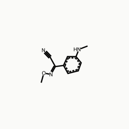 CNc1cccc(C(C#N)=NOC)c1